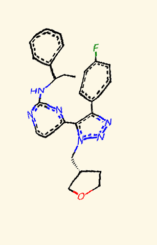 CC(Nc1nccc(-c2c(-c3ccc(F)cc3)nnn2C[C@@H]2CCOC2)n1)c1ccccc1